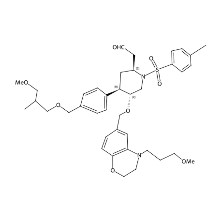 COCCCN1CCOc2ccc(CO[C@H]3CN(S(=O)(=O)c4ccc(C)cc4)[C@H](CC=O)C[C@@H]3c3ccc(COCC(C)COC)cc3)cc21